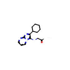 COC(=O)CNc1c(C2CCCCC2)nc2ncccn12